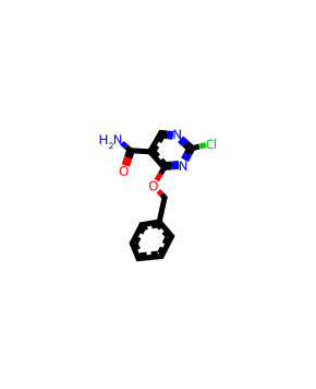 NC(=O)c1cnc(Cl)nc1OCc1ccccc1